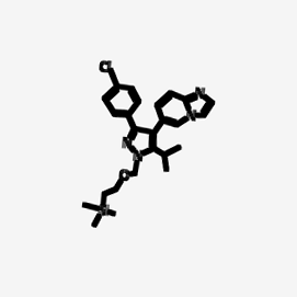 CC(C)c1c(-c2ccc3nccn3c2)c(-c2ccc(Cl)cc2)nn1COCC[Si](C)(C)C